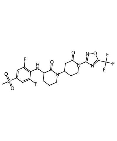 CS(=O)(=O)c1cc(F)c(NC2CCCN(C3CCN(c4noc(C(F)(F)F)n4)C(=O)C3)C2=O)c(F)c1